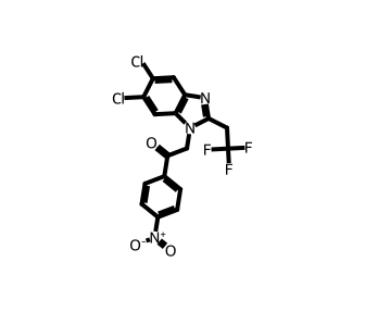 O=C(Cn1c(CC(F)(F)F)nc2cc(Cl)c(Cl)cc21)c1ccc([N+](=O)[O-])cc1